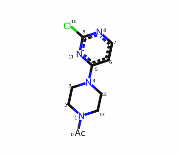 CC(=O)N1CCN(c2ccnc(Cl)n2)CC1